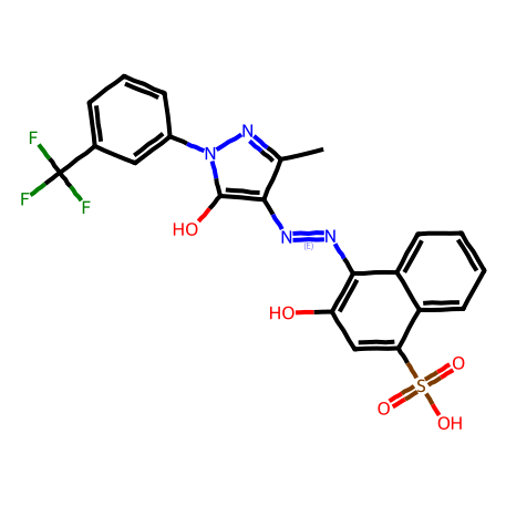 Cc1nn(-c2cccc(C(F)(F)F)c2)c(O)c1/N=N/c1c(O)cc(S(=O)(=O)O)c2ccccc12